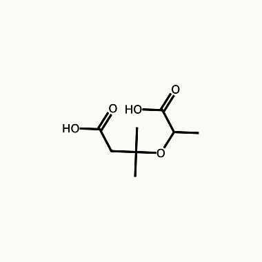 CC(OC(C)(C)CC(=O)O)C(=O)O